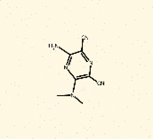 CN(C)c1nc(N)c(C#N)nc1C#N